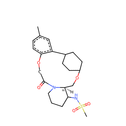 Cc1ccc2c(c1)C1CCC(CC1)OC[C@H]1C(NS(C)(=O)=O)CCCN1C(=O)CO2